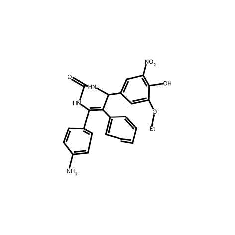 CCOc1cc(C2NC(=O)NC(c3ccc(N)cc3)=C2c2ccccc2)cc([N+](=O)[O-])c1O